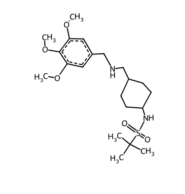 COc1cc(CNCC2CCC(NS(=O)(=O)C(C)(C)C)CC2)cc(OC)c1OC